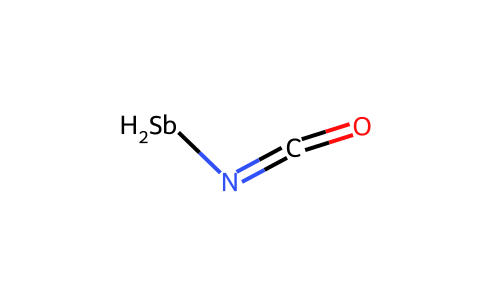 O=C=[N][SbH2]